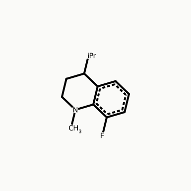 CC(C)C1CCN(C)c2c(F)cccc21